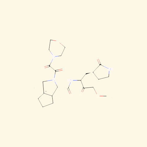 O=C(COC(F)(F)F)C(C[C@@H]1CCNC1=O)NC(=O)[C@@H]1[C@H]2CCC[C@H]2CN1C(=O)C(=O)N1CCOCC1